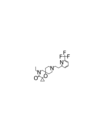 CCN1CC2(CCN(CCc3cccc(C(F)(F)F)n3)CC2)OC2(CC2)C1=O